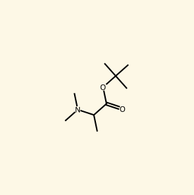 CC(C(=O)OC(C)(C)C)N(C)C